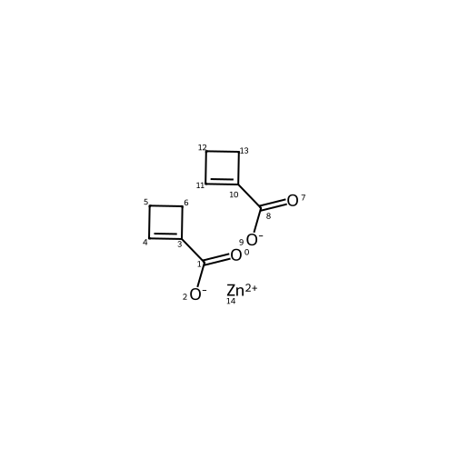 O=C([O-])C1=CCC1.O=C([O-])C1=CCC1.[Zn+2]